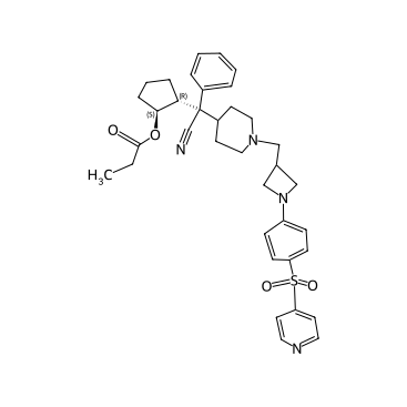 CCC(=O)O[C@H]1CCC[C@@H]1C(C#N)(c1ccccc1)C1CCN(CC2CN(c3ccc(S(=O)(=O)c4ccncc4)cc3)C2)CC1